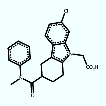 CN(C(=O)C1CCc2c(c3ccc(Cl)cc3n2CC(=O)O)C1)c1ccccc1